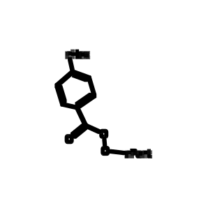 [CH2]CCCCOOC(=O)c1ccc(CCCCCC)cc1